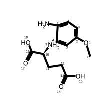 COc1ccc(N)cc1.N[C@@H](CCC(=O)O)C(=O)O